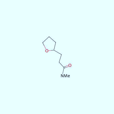 CNC(=O)CCC1CCCO1